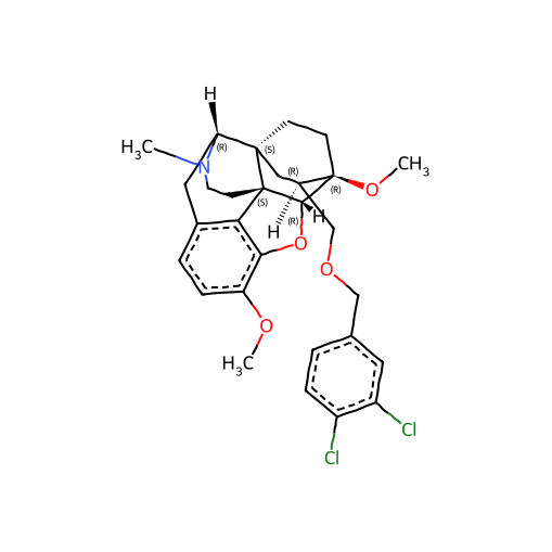 COc1ccc2c3c1O[C@H]1[C@@]4(OC)CC[C@@]5(C[C@@H]4COCc4ccc(Cl)c(Cl)c4)[C@@H](C2)N(C)CC[C@]315